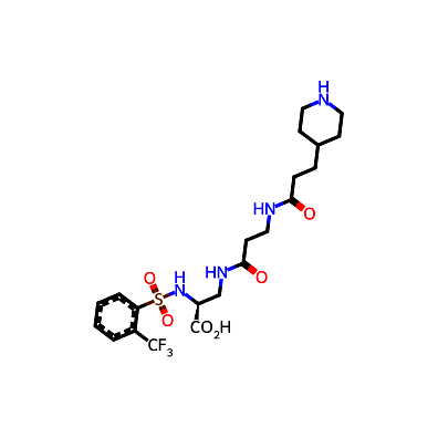 O=C(CCC1CCNCC1)NCCC(=O)NC[C@H](NS(=O)(=O)c1ccccc1C(F)(F)F)C(=O)O